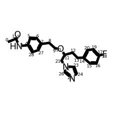 CC(=O)Nc1ccc(CCOC(CCc2ccc(F)cc2)Cn2ccnc2)cc1